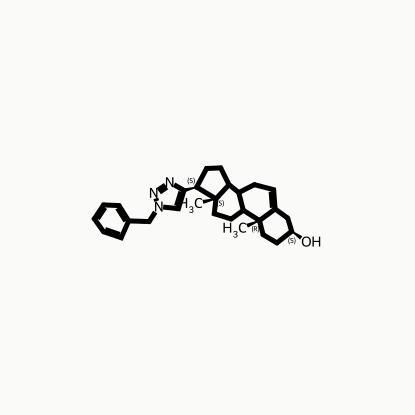 C[C@]12CC[C@H](O)CC1=CCC1C2CC[C@@]2(C)C1CC[C@@H]2c1cn(Cc2ccccc2)nn1